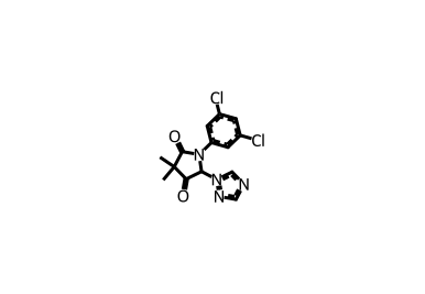 CC1(C)C(=O)C(n2cncn2)N(c2cc(Cl)cc(Cl)c2)C1=O